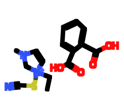 CC[N+]1(SC#N)C=CN(C)C1.O=C(O)c1ccccc1C(=O)O